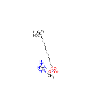 CC[Si](C)(C)CCCCCCCCCCCCCCCCCOP(=O)(O)CO[C@H](C)Cn1cnc2c(N)ncnc21